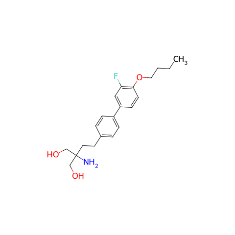 CCCCOc1ccc(-c2ccc(CCC(N)(CO)CO)cc2)cc1F